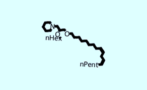 CCCCC/C=C\C/C=C\CCCCCCCCOCC(CN1CCCCC1)OCCCCCC